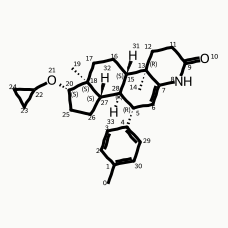 Cc1ccc([C@H]2C=C3NC(=O)CC[C@]3(C)[C@H]3CC[C@]4(C)[C@@H](OC5CC5)CC[C@H]4[C@H]23)cc1